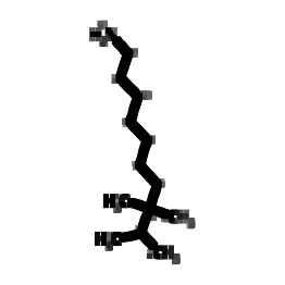 CC(C)C(C)(C)CCCCCCCN